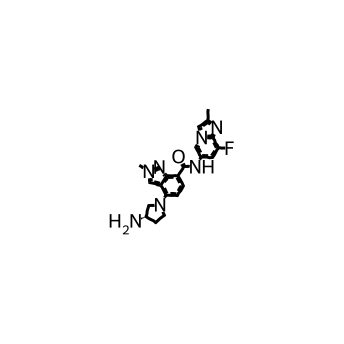 Cc1cn2cc(NC(=O)c3ccc(N4CC[C@H](N)C4)c4cn(C)nc34)cc(F)c2n1